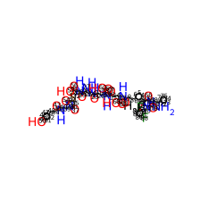 Cc1c(-c2cccc(CCC(=O)NC(CCC(=O)NC(CCC(=O)NCC(N)C(=O)NC(CSC3CC(=O)N(CCNC(=O)CCc4ccc(O)cc4)C3=O)C(=O)O)C(=O)O)C(=O)O)c2)c(=O)n(C[C@H](N)c2ccccc2)c(=O)n1Cc1c(F)cccc1F